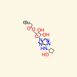 CC(C)(C)CC(=O)OCC1OC(n2cnc3c(N[C@H]4CCC[C@@H]4O)nncc32)[C@H](O)[C@@H]1O